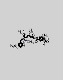 C=C(CCC(CCC)N1CCc2cc(OC)ccc2N/C1=C\C)CC(=O)CNC(=O)c1cc(C)c2[nH]c(=O)[nH]c2c1